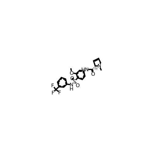 COc1cc(NC(=O)[C@@H]2C=CCN2C)ccc1S(=O)(=O)Nc1cccc(C(F)(F)F)c1